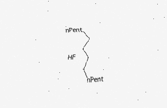 CCCCCCCCCCCCCC.F